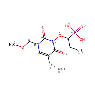 CCC(On1c(=O)c(C)cn(COC)c1=O)P(=O)(O)O.[NaH]